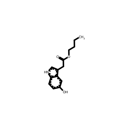 CCCCOC(=O)Cc1c[nH]c2ccc(O)cc12